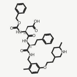 Cc1ccc(OCCC2CCC(C)NC2)cc1CNC(=O)[C@H](CCc1ccccc1)NC(=O)[C@H](CC(=O)O)NC(=O)OCc1ccccc1